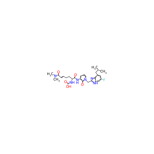 CC(C)Cc1cc(F)cc2[nH]c(Cn3cccc(NC(=O)C(CC/C=C/C(=O)N(C)C)NC(=O)O)c3=O)nc12